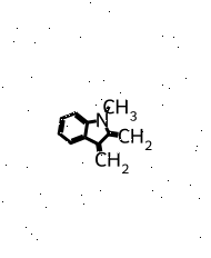 C=c1c(=C)n(C)c2ccccc12